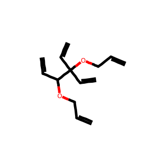 C=CCOC(C=C)C(C=C)(C=C)OCC=C